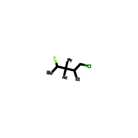 CCC(C)C(F)C(C(C)=O)(C(C)C)C(CC)CCl